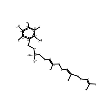 CC(C)=CCC/C(C)=C/CC/C(C)=C/CC[C@](C)(O)CCc1c(C)c(O)c(C)c(C)c1O